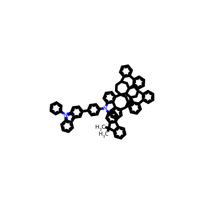 CC1(C)c2ccccc2-c2ccc(N(c3ccc(-c4ccc5c(c4)c4ccccc4n5-c4ccccc4)cc3)c3cccc4c3-c3ccccc3C3CCC45CCC4CC6(CC7CC(C3)(c3ccccc3-c3ccccc37)C65)c3ccccc3-c3ccccc34)cc21